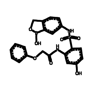 O=C(COc1ccccc1)Nc1cc(O)ccc1S(=O)(=O)Nc1ccc2c(c1)B(O)OC2